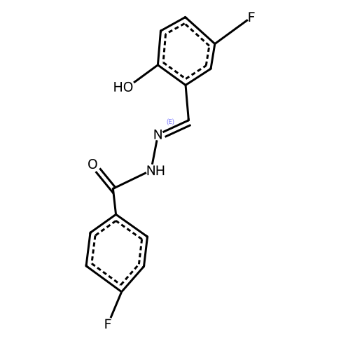 O=C(N/N=C/c1cc(F)ccc1O)c1ccc(F)cc1